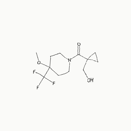 COC1(C(F)(F)F)CCN(C(=O)C2(CO)CC2)CC1